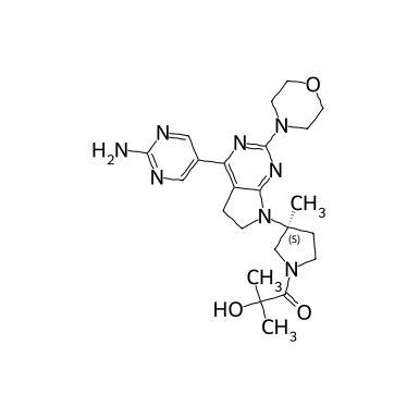 CC(C)(O)C(=O)N1CC[C@](C)(N2CCc3c(-c4cnc(N)nc4)nc(N4CCOCC4)nc32)C1